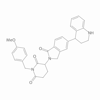 COc1ccc(CN2C(=O)CCC(N3Cc4cc(C5CCNc6ccccc65)ccc4C3=O)C2=O)cc1